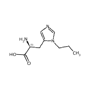 CCCn1cncc1C[C@H](N)C(=O)O